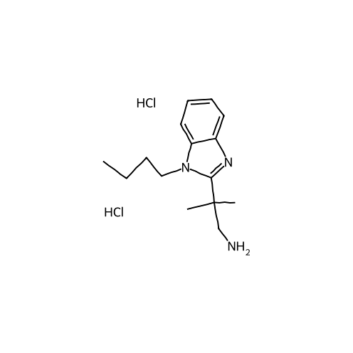 CCCCn1c(C(C)(C)CN)nc2ccccc21.Cl.Cl